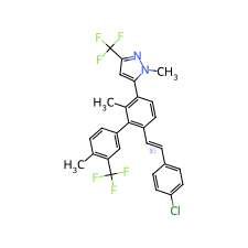 Cc1ccc(-c2c(/C=C/c3ccc(Cl)cc3)ccc(-c3cc(C(F)(F)F)nn3C)c2C)cc1C(F)(F)F